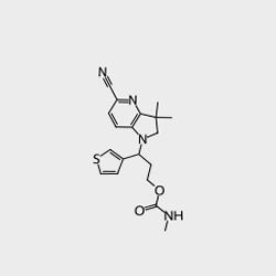 CNC(=O)OCCC(c1ccsc1)N1CC(C)(C)c2nc(C#N)ccc21